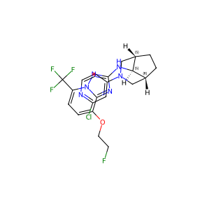 FCCOc1ccc(C(F)(F)F)n2nc(N[C@@H]3[C@@H]4CC[C@H]3CN(c3ccnc(Cl)c3)C4)nc12